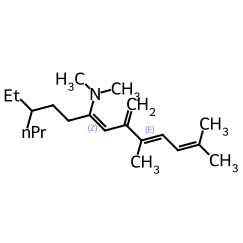 C=C(/C=C(/CCC(CC)CCC)N(C)C)/C(C)=C/C=C(C)C